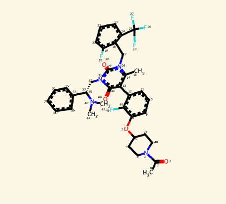 CC(=O)N1CCC(Oc2cccc(-c3c(C)n(Cc4c(F)cccc4C(F)(F)F)c(=O)n(C[C@@H](c4ccccc4)N(C)C)c3=O)c2F)CC1